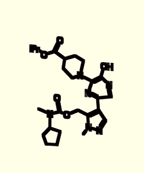 CC(C)OC(=O)C1CCN(c2nc(-c3cnn(C)c3COC(=O)N(C)C3CCCC3)cnc2O)CC1